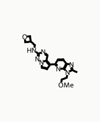 COCCn1c(C)nc2ccc(-c3ccn4nc(NCC5COC5)ncc34)nc21